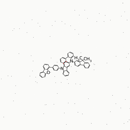 CC1(C)c2ccccc2-c2ccc(N(c3ccc4c(c3)c3ccccc3n4-c3ccc(-c4cccc5c4oc4ccccc45)cc3)c3ccccc3-c3ccccc3)cc21